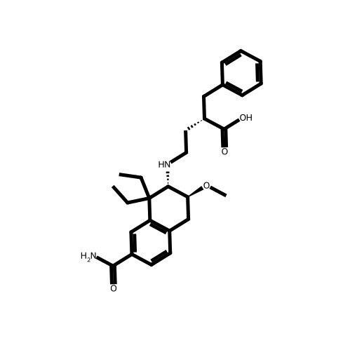 CCC1(CC)c2cc(C(N)=O)ccc2C[C@H](OC)[C@H]1NCC[C@H](Cc1ccccc1)C(=O)O